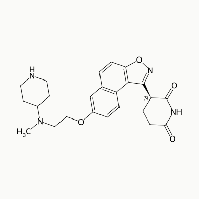 CN(CCOc1ccc2c(ccc3onc([C@@H]4CCC(=O)NC4=O)c32)c1)C1CCNCC1